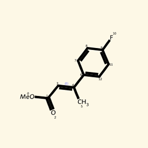 COC(=O)/C=C(\C)c1ccc(F)cc1